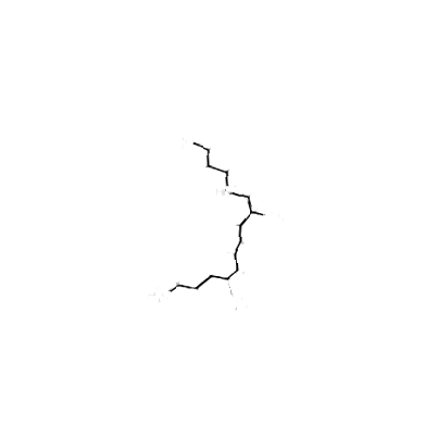 CCCCNCC(C)CCCC[C@@H](C)CCCC